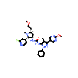 COCC[C@@H]1C[C@@H](NC(=O)Nc2c(C)c(-c3cnc(OC)nc3)nn2-c2ccccc2)[C@H](c2ccnc(F)c2)N1C